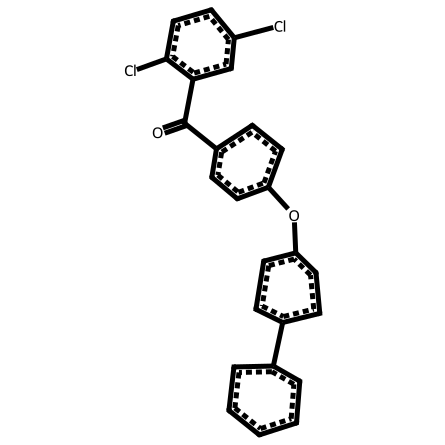 O=C(c1ccc(Oc2ccc(-c3ccccc3)cc2)cc1)c1cc(Cl)ccc1Cl